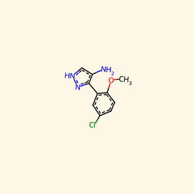 COc1ccc(Cl)cc1-c1n[nH]cc1N